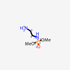 COP(=O)(NCCN)OC